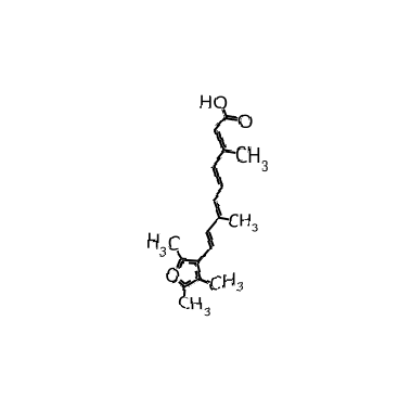 CC(/C=C/c1c(C)oc(C)c1C)=C\C=C\C(C)=C\C(=O)O